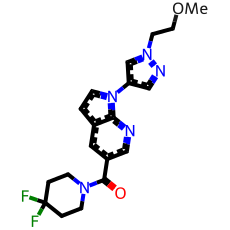 COCCn1cc(-n2ccc3cc(C(=O)N4CCC(F)(F)CC4)cnc32)cn1